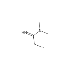 [CH2]CC(=N)N(C)C